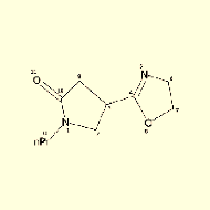 CCCN1CC(C2=NCCO2)CC1=O